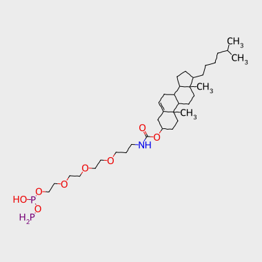 CC(C)CCCCC1CCC2C3CC=C4CC(OC(=O)NCCCOCCOCCOCCOP(O)OP)CCC4(C)C3CCC12C